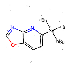 CCC[CH2][Sn]([CH2]CCC)([CH2]CCC)[c]1ccc2ocnc2n1